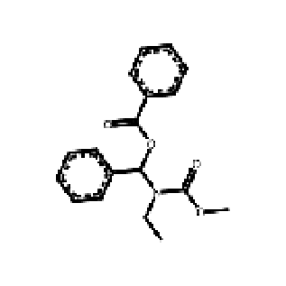 CCN(C(=O)OC)C(OC(=O)c1ccccc1)c1ccccc1